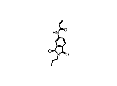 C=CC(=O)Nc1ccc2c(c1)C(=O)N(CCC)C2=O